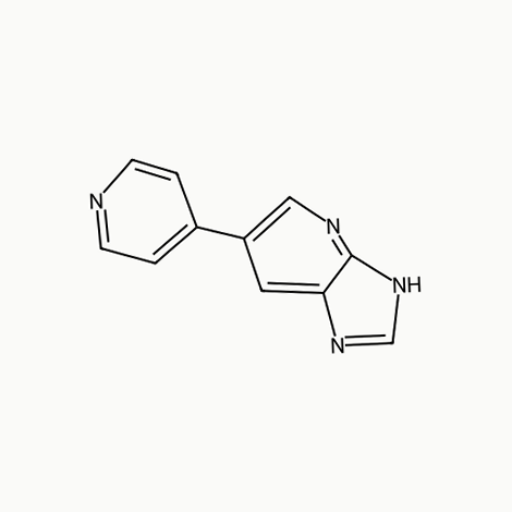 c1cc(-c2cnc3[nH]cnc3c2)ccn1